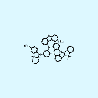 CC(C)(C)c1cc2c3c(c1)-n1c4c(c5cccc(c51)B3c1ccc(N3c5ccc(C(C)(C)C)cc5C5(C)CCCCC35C)cc1N2c1cccc2sc3ccccc3c12)C(C)(C)c1ccccc1-4